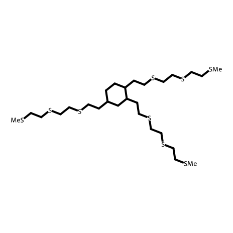 CSCCSCCSCCC1CCC(CCSCCSCCSC)C(CCSCCSCCSC)C1